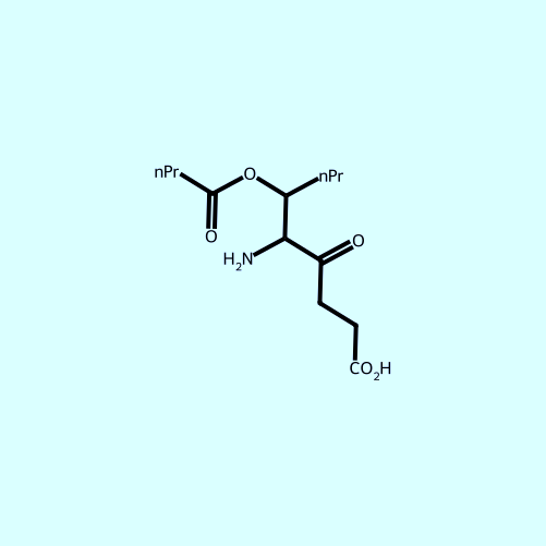 CCCC(=O)OC(CCC)C(N)C(=O)CCC(=O)O